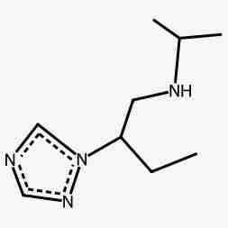 CCC(CNC(C)C)n1cncn1